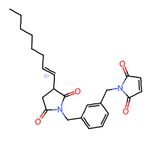 CCCCCC/C=C/C1CC(=O)N(Cc2cccc(CN3C(=O)C=CC3=O)c2)C1=O